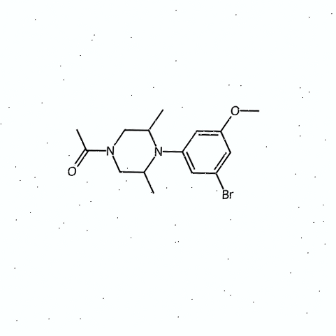 COc1cc(Br)cc(N2C(C)CN(C(C)=O)CC2C)c1